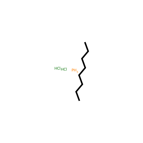 CCCCCCCC.Cl.Cl.P